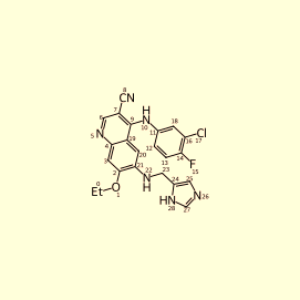 CCOc1cc2ncc(C#N)c(Nc3ccc(F)c(Cl)c3)c2cc1NCc1cnc[nH]1